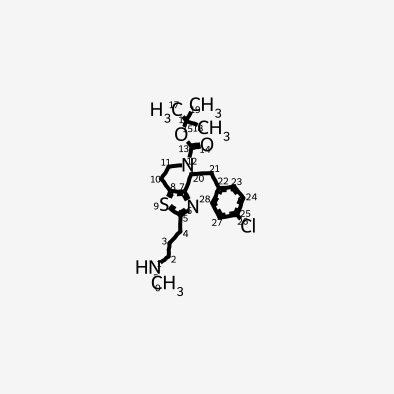 CNCCCc1nc2c(s1)CCN(C(=O)OC(C)(C)C)C2Cc1ccc(Cl)cc1